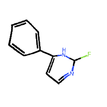 F[C]1N=CC=C(c2ccccc2)N1